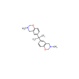 CN1COc2ccc(C(c3ccc4c(c3)CN(C)CO4)(C(F)(F)F)C(F)(F)F)cc2C1